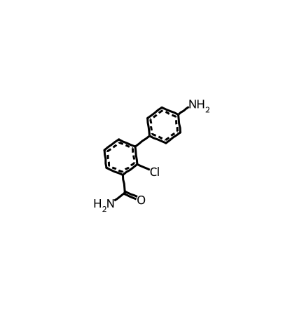 NC(=O)c1cccc(-c2ccc(N)cc2)c1Cl